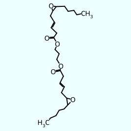 CCCCCC1OC1C/C=C/CC(=O)OCCCOC(=O)C/C=C/CC1OC1CCCCC